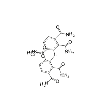 NC(=O)c1ccc(C(N)=O)c(C(N)=O)c1[CH]c1c(C(N)=O)ccc(C(N)=O)c1C(N)=O